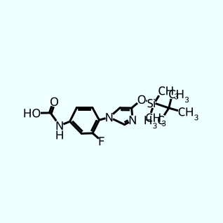 CC(C)(C)[Si](C)(C)Oc1cn(-c2ccc(NC(=O)O)cc2F)cn1